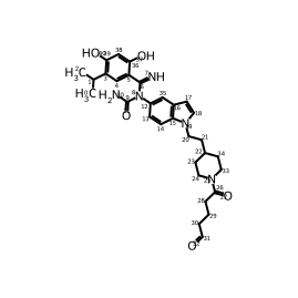 CC(C)c1cc(C(=N)N(C(N)=O)c2ccc3c(ccn3CCC3CCN(C(=O)CCCC=O)CC3)c2)c(O)cc1O